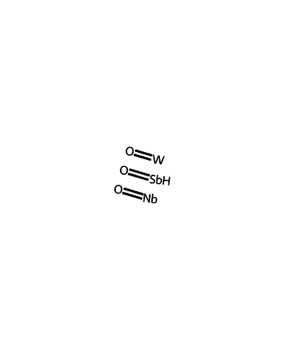 [O]=[Nb].[O]=[SbH].[O]=[W]